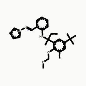 CCC(C)(Pc1ccccc1/C=N/n1cccc1)c1cc(C(C)(C)C)cc(C)c1OCOC